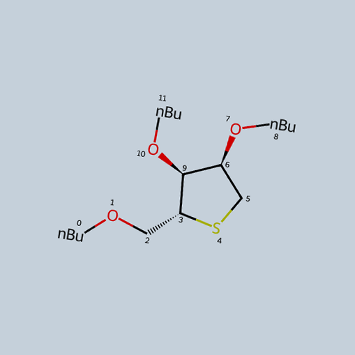 CCCCOC[C@H]1SC[C@H](OCCCC)[C@@H]1OCCCC